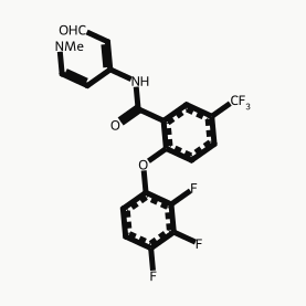 CN/C=C\C(=C/C=O)NC(=O)c1cc(C(F)(F)F)ccc1Oc1ccc(F)c(F)c1F